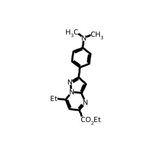 CCOC(=O)c1cc(CC)n2nc(-c3ccc(N(C)C)cc3)cc2n1